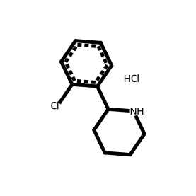 Cl.Clc1ccccc1C1CCCCN1